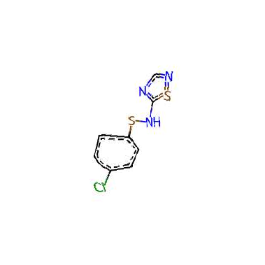 Clc1ccc(SNc2ncns2)cc1